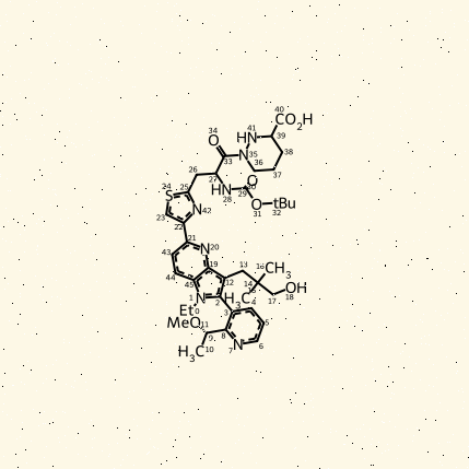 CCn1c(-c2cccnc2[C@H](C)OC)c(CC(C)(C)CO)c2nc(-c3csc(CC(NC(=O)OC(C)(C)C)C(=O)N4CCCC(C(=O)O)N4)n3)ccc21